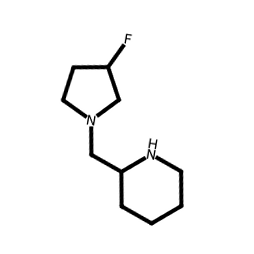 FC1CCN(CC2CCCCN2)C1